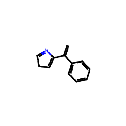 C=C(C1=CCC=N1)c1ccccc1